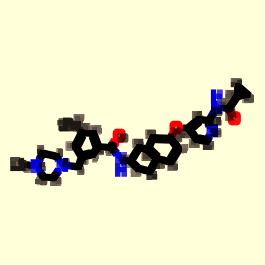 CCN1CCN(Cc2cc(C(=O)NC3CCc4ccc(Oc5ccnc(NC(=O)C6CC6)c5)cc4C3)cc(C(C)(C)C)c2)CC1